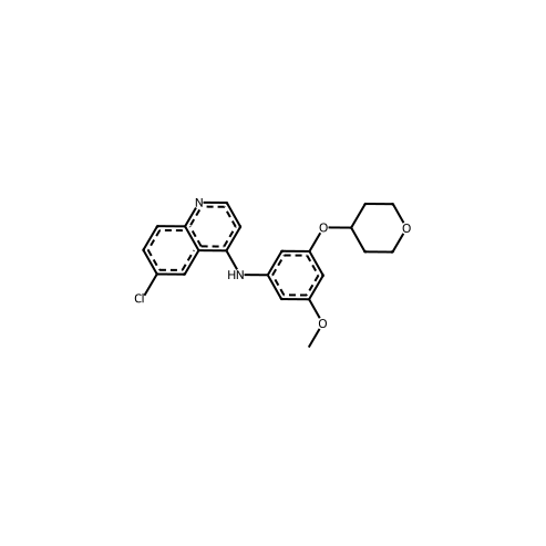 COc1cc(Nc2ccnc3ccc(Cl)cc23)cc(OC2CCOCC2)c1